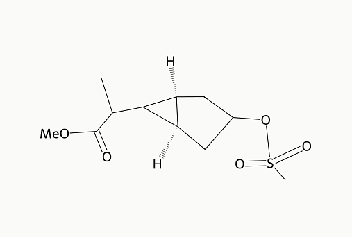 COC(=O)C(C)C1[C@H]2CC(OS(C)(=O)=O)C[C@@H]12